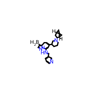 Bc1cnn2c1CC=C(C1CCCN(C3C[C@@H]4CC45C[C@H]35)C1)C=C2NCc1cccnc1